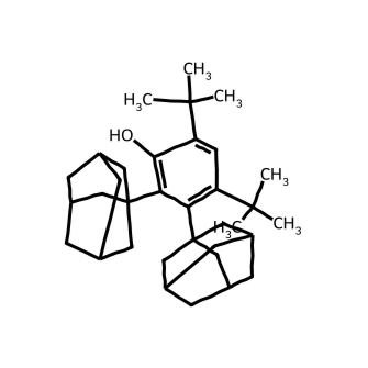 CC(C)(C)c1cc(C(C)(C)C)c(C23CC4CC(CC(C4)C2)C3)c(C23CC4CC(CC(C4)C2)C3)c1O